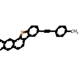 Cc1ccc(C#Cc2ccc3sc4c5cc6ccccc6cc5ccc4c3c2)cc1